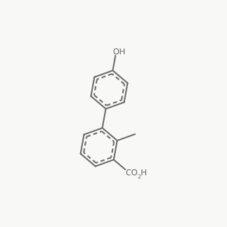 Cc1c(C(=O)O)cccc1-c1ccc(O)cc1